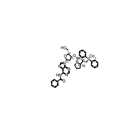 C[Si](C[C@@H]1O[P@@](O[C@@H]2C[C@H](n3cnc4c(NC(=O)c5ccccc5)ncnc43)O[C@@H]2CO)N2CCC[C@H]12)(c1ccccc1)c1ccccc1